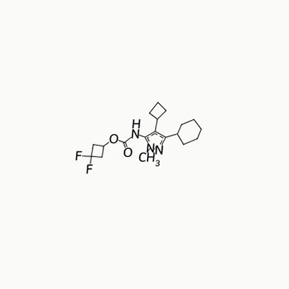 Cn1nc(C2CCCCC2)c(C2CCC2)c1NC(=O)OC1CC(F)(F)C1